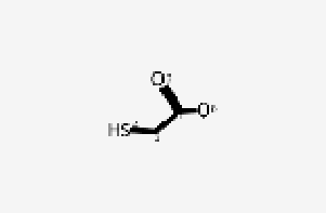 [O]C(=O)CS